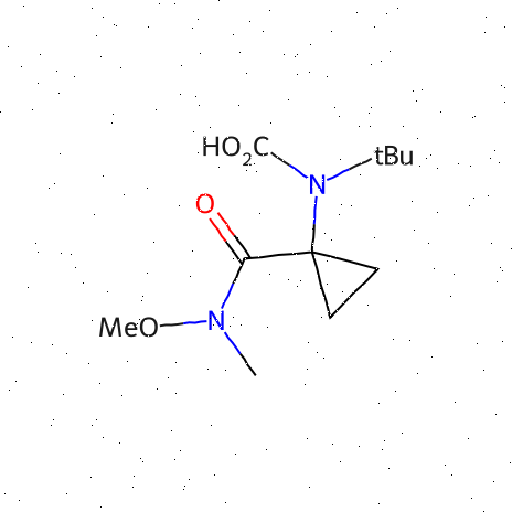 CON(C)C(=O)C1(N(C(=O)O)C(C)(C)C)CC1